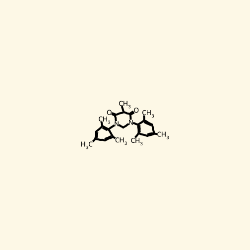 Cc1cc(C)c(N2CN(c3c(C)cc(C)cc3C)C(=O)C(C)C2=O)c(C)c1